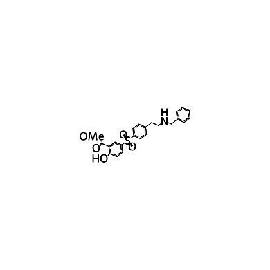 COC(=O)c1cc(S(=O)(=O)c2ccc(CCNCc3ccccc3)cc2)ccc1O